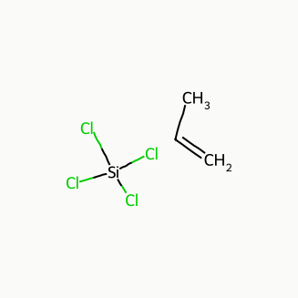 C=CC.Cl[Si](Cl)(Cl)Cl